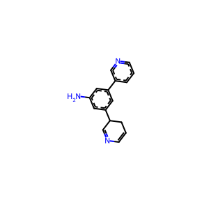 Nc1cc(-c2cccnc2)cc(C2C=NC=CC2)c1